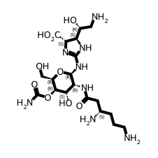 NCCC[C@H](N)CC(=O)N[C@@H]1[C@H](O)[C@@H](OC(N)=O)[C@@H](CO)O[C@H]1NC1=N[C@H](C(=O)O)[C@@H]([C@H](O)CN)N1